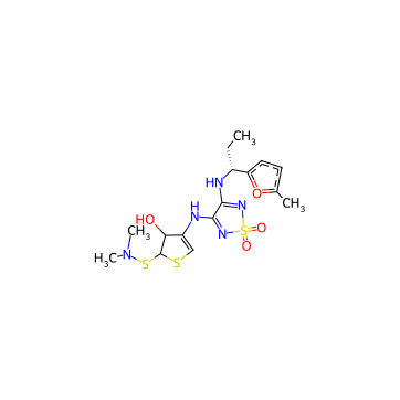 CC[C@@H](NC1=NS(=O)(=O)N=C1NC1=CSC(SN(C)C)C1O)c1ccc(C)o1